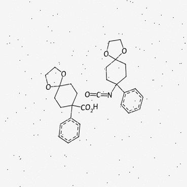 O=C(O)C1(c2ccccc2)CCC2(CC1)OCCO2.O=C=NC1(c2ccccc2)CCC2(CC1)OCCO2